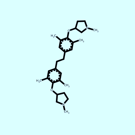 Cc1cc(CCc2cc(C)c(OC3CCN(C)C3)c(C)c2)cc(C)c1OC1CCN(C)C1